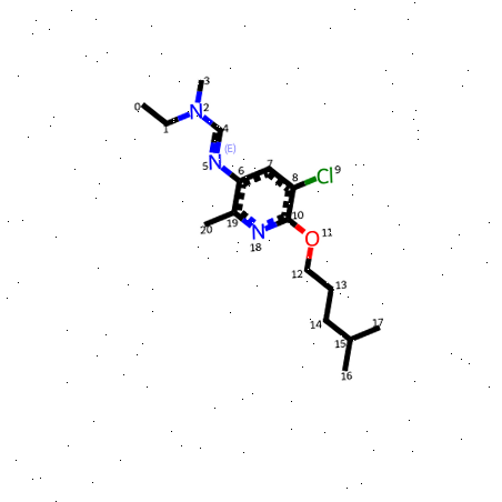 CCN(C)/C=N/c1cc(Cl)c(OCCCC(C)C)nc1C